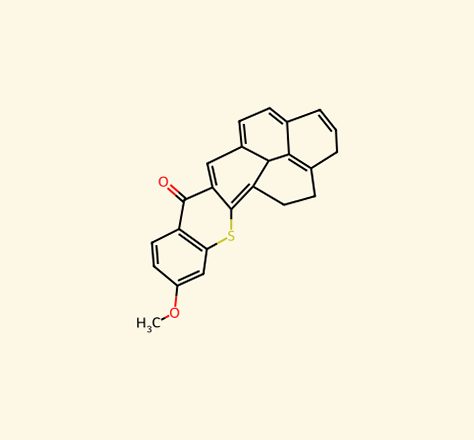 COc1ccc2c(=O)c3c(sc2c1)=C1CCC2=C4C(=CC=C(C=3)C41)C=CC2